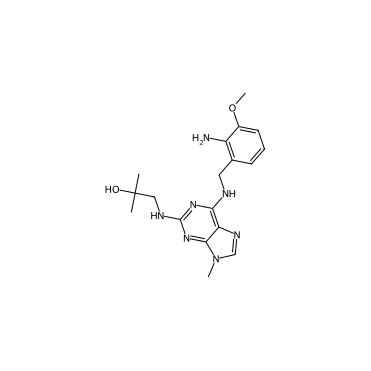 COc1cccc(CNc2nc(NCC(C)(C)O)nc3c2ncn3C)c1N